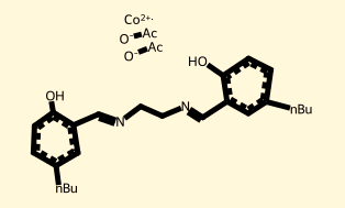 CC(=O)[O-].CC(=O)[O-].CCCCc1ccc(O)c(C=NCCN=Cc2cc(CCCC)ccc2O)c1.[Co+2]